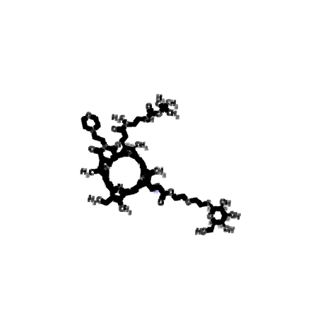 CCC1=C(C)c2cc3[nH]c(cc4nc(c5c6[nH]c(cc1n2)c(C)c6C(=O)N(CCN1CCOCC1)C5=O)[C@@H](CCC(=O)N(C)CCNC(=O)OC(C)(C)C)[C@@H]4C)c(C)c3/C=C/C(=O)OCCOCCS[C@@H]1O[C@H](CO)[C@@H](O)[C@H](O)[C@H]1O